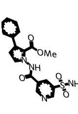 COC(=O)c1c(-c2ccccc2)ccn1NC(=O)c1cncc(S(N)(=O)=O)c1